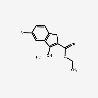 CCOC(=N)c1oc2ccc(Br)cc2c1O.Cl